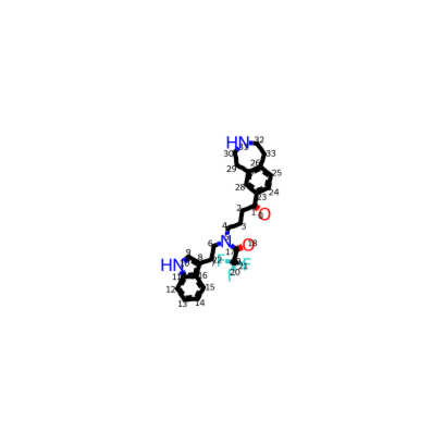 O=C(CCCN(CCc1c[nH]c2ccccc12)C(=O)C(F)(F)F)c1ccc2c(c1)CCNCC2